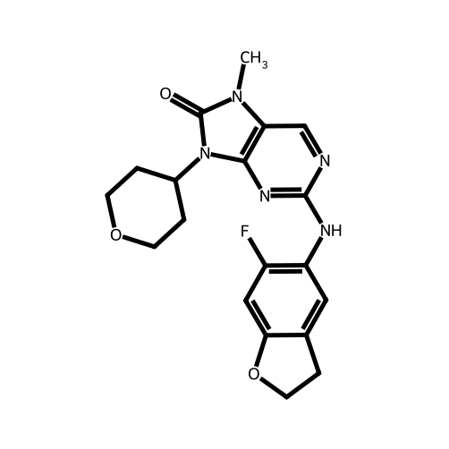 Cn1c(=O)n(C2CCOCC2)c2nc(Nc3cc4c(cc3F)OCC4)ncc21